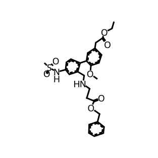 CCOC(=O)Cc1ccc(OC)c(-c2ccc(NS(C)(=O)=O)cc2CNCCC(=O)OCc2ccccc2)c1